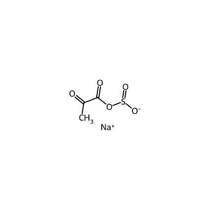 CC(=O)C(=O)OS(=O)[O-].[Na+]